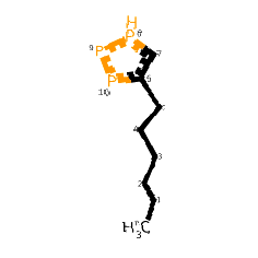 CCCCCCc1c[pH]pp1